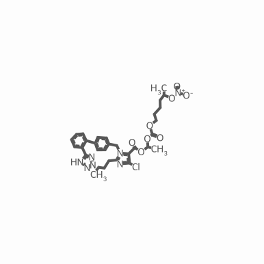 CCCCc1nc(Cl)c(C(=O)OC(C)OC(=O)OCCCCC(C)O[N+](=O)[O-])n1Cc1ccc(-c2ccccc2-c2nnn[nH]2)cc1